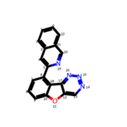 c1ccc2cc(-c3cccc4oc5cnnnc5c34)ncc2c1